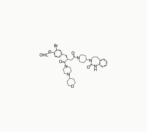 O=COc1ccc(C[C@@H](CC(=O)N2CCC(N3CCc4ccccc4NC3=O)CC2)C(=O)N2CCN(C3CCOCC3)CC2)cc1Br